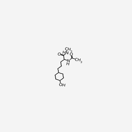 CNC(=O)C(CCCC1CCC(O)CC1)NC(C)=O